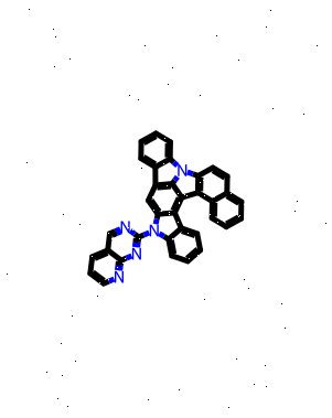 c1cnc2nc(-n3c4ccccc4c4c5c6c7ccccc7ccc6n6c7ccccc7c(cc43)c56)ncc2c1